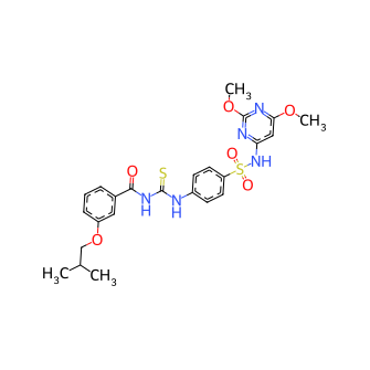 COc1cc(NS(=O)(=O)c2ccc(NC(=S)NC(=O)c3cccc(OCC(C)C)c3)cc2)nc(OC)n1